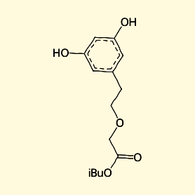 CC(C)COC(=O)COCCc1cc(O)cc(O)c1